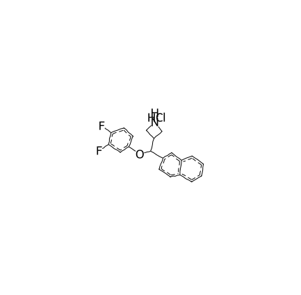 Cl.Fc1ccc(OC(c2ccc3ccccc3c2)C2CNC2)cc1F